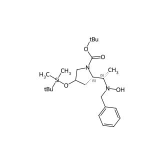 C[C@@H]([C@@H]1CC(O[Si](C)(C)C(C)(C)C)CN1C(=O)OC(C)(C)C)N(O)Cc1ccccc1